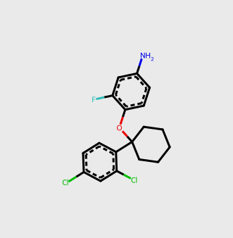 Nc1ccc(OC2(c3ccc(Cl)cc3Cl)CCCCC2)c(F)c1